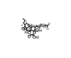 CCC[C@@]1(C)CC[C@H]2[C@@H](CCC3C[C@@H](O)C(/C=N/OCCN(C)C)C[C@@]32C)C1=O.O=C(O)C(=O)O